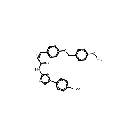 COc1ccc(-c2csc(NC(=O)/C=C\c3ccc(OCc4ccc(OC(F)(F)F)cc4)cc3)n2)cc1